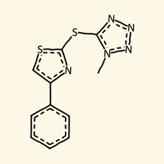 Cn1nnnc1Sc1nc(-c2ccccc2)cs1